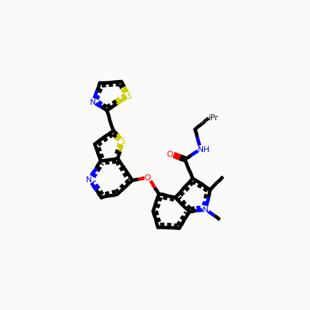 Cc1c(C(=O)NCC(C)C)c2c(Oc3ccnc4cc(-c5nccs5)sc34)cccc2n1C